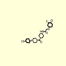 O=C(COc1ccc(Cl)c(F)c1)N[C@H]1CC[C@H](C(=O)N2CCN(c3ccc(Cl)cc3)CC2)CC1